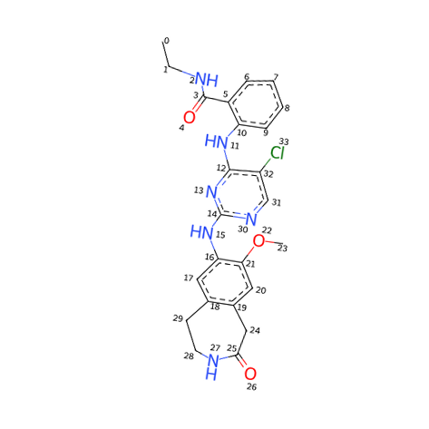 CCNC(=O)c1ccccc1Nc1nc(Nc2cc3c(cc2OC)CC(=O)NCC3)ncc1Cl